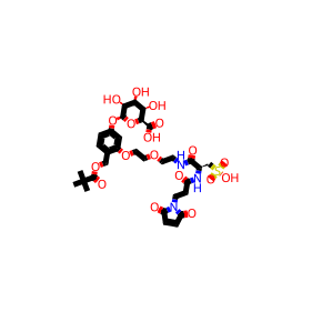 CC(C)(C)C(=O)OCc1ccc(O[C@@H]2O[C@H](C(=O)O)[C@@H](O)[C@H](O)[C@H]2O)cc1OCCOCCNC(=O)[C@H](CS(=O)(=O)O)NC(=O)CCN1C(=O)C=CC1=O